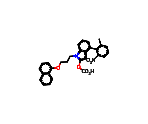 Cc1cccc([N+](=O)[O-])c1-c1cccc2c1cc(OC(=O)O)n2CCCOc1cccc2ccccc12